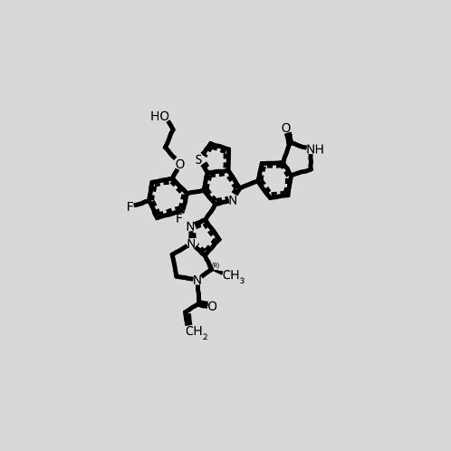 C=CC(=O)N1CCn2nc(-c3nc(-c4ccc5c(c4)C(=O)NC5)c4ccsc4c3-c3c(F)cc(F)cc3OCCO)cc2[C@H]1C